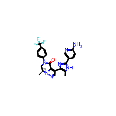 Cc1[nH]c(-c2ccc(N)nc2)nc1-c1cnn2c1C(=O)N(c1ccc(C(F)(F)F)cc1)C[C@@H]2C